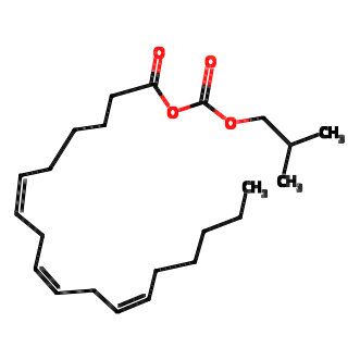 CCCCC/C=C\C/C=C\C/C=C\CCCCC(=O)OC(=O)OCC(C)C